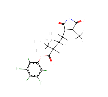 CC(C)(C)C1C(=O)NC(=O)C1C(C)(C)C(C)(C)C(C)(C(=O)Oc1c(F)c(F)c(F)c(F)c1F)C(C)(C)C